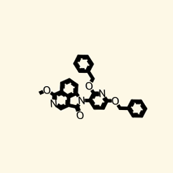 COc1ncc2c3c(cccc13)N(c1ccc(OCc3ccccc3)nc1OCc1ccccc1)C2=O